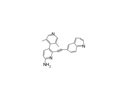 Cc1cncc(C)c1-c1ccc(N)nc1C#Cc1ccc2ncccc2c1